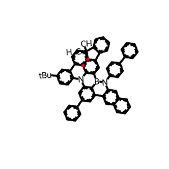 CC(C)(C)c1ccc(N2c3cc4c(cc3B3c5c(cc(-c6ccccc6)cc52)-c2cc5ccccc5cc2N3c2ccc(-c3ccccc3)cc2)-c2ccccc2C4(C)C)c(-c2ccccc2)c1